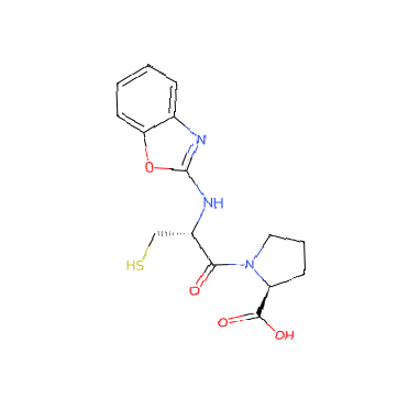 O=C(O)[C@@H]1CCCN1C(=O)[C@H](CS)Nc1nc2ccccc2o1